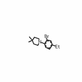 CCc1ccc(N2CCC(C)(C)CC2)c(Br)c1